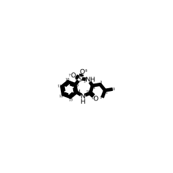 CC(C)CC1NS(=O)(=O)c2ccccc2NC1=O